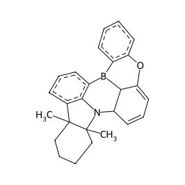 CC12CCCCC1(C)N1c3c(cccc32)B2c3ccccc3OC3=CC=CC1C23